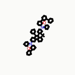 CC1(C)c2cc(N(c3ccccc3)c3cccc4c3oc3c(-c5ccccc5)cccc34)ccc2-c2c(-c3ccccc3)c3ccc(N(c4ccccc4)c4cccc5c4oc4ccccc45)cc3c3cccc1c23